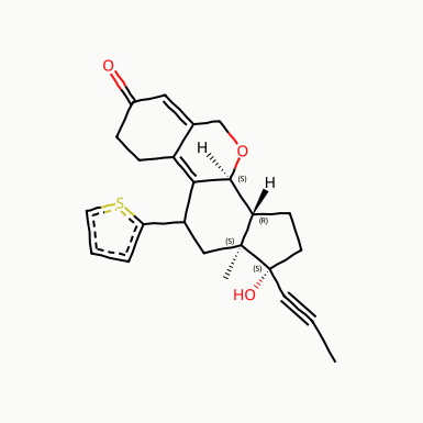 CC#C[C@]1(O)CC[C@H]2[C@@H]3OCC4=CC(=O)CCC4=C3C(c3cccs3)C[C@@]21C